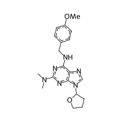 COc1ccc(CNc2nc(N(C)C)nc3c2ncn3C2CCCO2)cc1